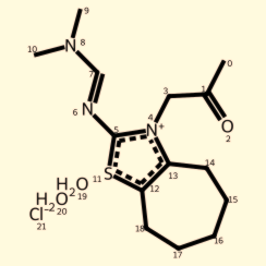 CC(=O)C[n+]1c(N=CN(C)C)sc2c1CCCCC2.O.O.[Cl-]